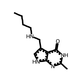 CCCCNCc1c[nH]c2nc(C)[nH]c(=O)c12